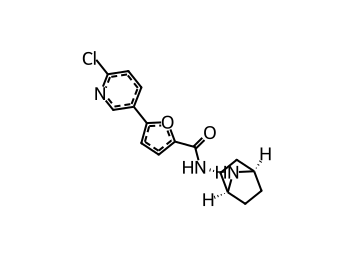 O=C(N[C@@H]1C[C@H]2CC[C@@H]1N2)c1ccc(-c2ccc(Cl)nc2)o1